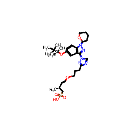 C[C@@H](CCOCCCc1ncn(-c2nn(C3CCCCO3)c3ccc(O[Si](C)(C)C(C)(C)C)cc23)n1)CS(=O)(=O)O